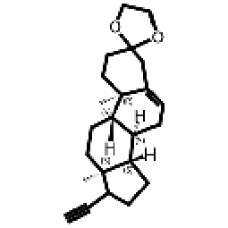 C#CC1CC[C@H]2[C@@H]3CC=C4CC5(CC[C@]4(C)[C@H]3CC[C@]12C)OCCO5